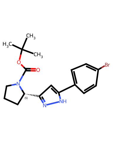 CC(C)(C)OC(=O)N1CCC[C@H]1c1cc(-c2ccc(Br)cc2)[nH]n1